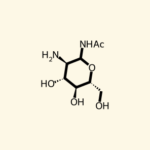 CC(=O)NC1O[C@H](CO)[C@@H](O)[C@H](O)[C@H]1N